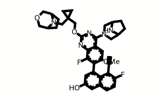 C#Cc1c(F)ccc2cc(O)cc(-c3c(OC)cc4c(N5CC6CCC(C5)N6)nc(OCC5(CN6C7CCC6COC7)CC5)nc4c3F)c12